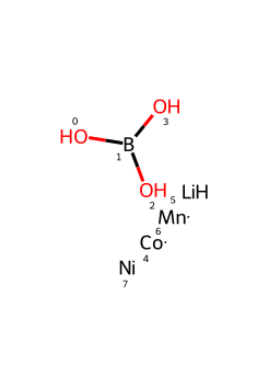 OB(O)O.[Co].[LiH].[Mn].[Ni]